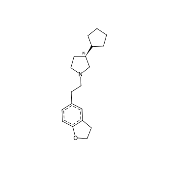 c1cc2c(cc1CCN1CC[C@@H]([C]3CCCC3)C1)CCO2